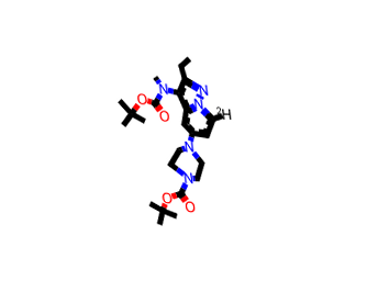 [2H]c1cc(N2CCN(C(=O)OC(C)(C)C)CC2)cc2c(N(C)C(=O)OC(C)(C)C)c(CC)nn12